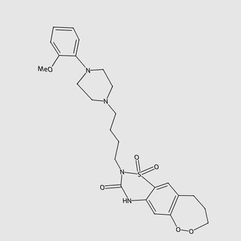 COc1ccccc1N1CCN(CCCCN2C(=O)Nc3cc4c(cc3S2(=O)=O)CCCOO4)CC1